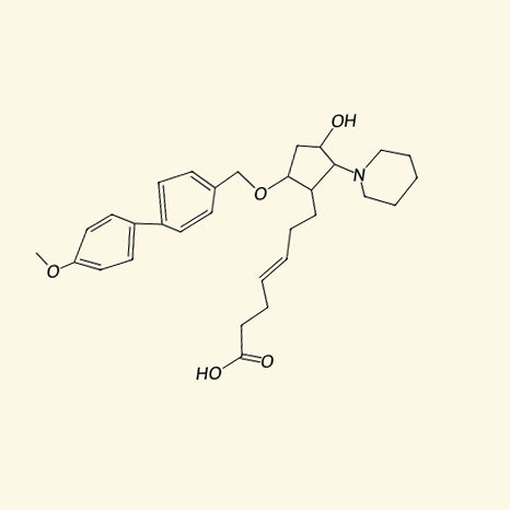 COc1ccc(-c2ccc(COC3CC(O)C(N4CCCCC4)C3CCC=CCCC(=O)O)cc2)cc1